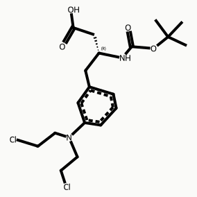 CC(C)(C)OC(=O)N[C@@H](CC(=O)O)Cc1cccc(N(CCCl)CCCl)c1